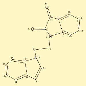 O=C1C(=O)N(CCn2ccc3ccccc32)c2ccccc21